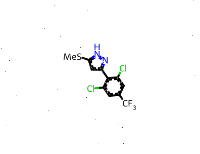 CSc1cc(-c2c(Cl)cc(C(F)(F)F)cc2Cl)n[nH]1